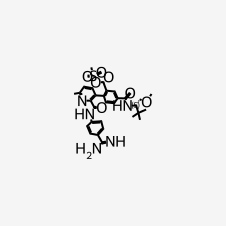 COC[C@@H](NC(=O)c1ccc(-c2ccc(C)nc2C(=O)Nc2ccc(C(=N)N)cc2)c(C(=O)OS(C)(=O)=O)c1)C(C)(C)C